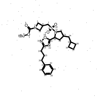 CC(C)(C)OC(=O)N1CC(CS(=O)(=O)N2CC(CC3CCC3)CC2c2nc(CCCc3ccccc3)no2)C1